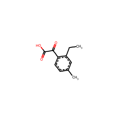 CCc1cc(C)ccc1C(=O)C(=O)O